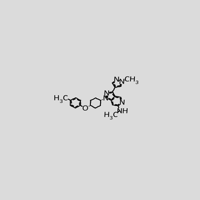 CNc1cc2c(cn1)c(-c1cnn(C)c1)nn2[C@H]1CC[C@@H](Oc2ccc(C)cc2)CC1